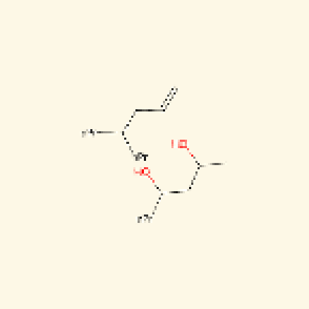 C=CCC(CCC)CCC.CCCC(O)CC(C)O